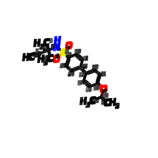 C#CC(C)(C)NS(=O)(=O)c1ccc(-c2ccc(OC(C)C)cc2)cc1